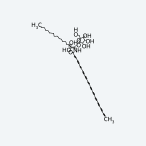 CC#CC#CC#CC#CC#CC#CC#CC#CC#CC#CC#CC#CC(=O)N[C@@H](COC1OC(CO)C(O)C(O)C1O)[C@H](O)[C@H](O)CCCCCCCCCCCCCC